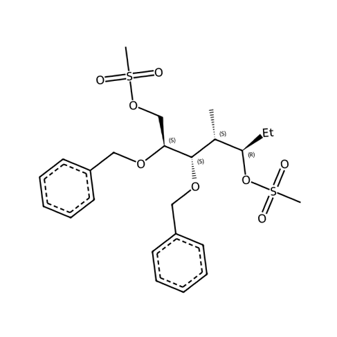 CC[C@@H](OS(C)(=O)=O)[C@@H](C)[C@H](OCc1ccccc1)[C@H](COS(C)(=O)=O)OCc1ccccc1